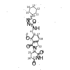 COc1c(CNc2nnc(C3CCCCC3)o2)ccc2c1C(=O)N(C1CCC(=O)NC1=O)C2